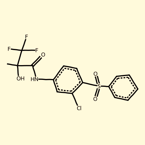 CC(O)(C(=O)Nc1ccc(S(=O)(=O)c2ccccc2)c(Cl)c1)C(F)(F)F